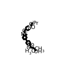 CC(C)OC(=O)N1CCC(Oc2nc3ccc(C4=CCN(S(=O)(=O)CCC(C)(C)O)CC4)cc3s2)CC1